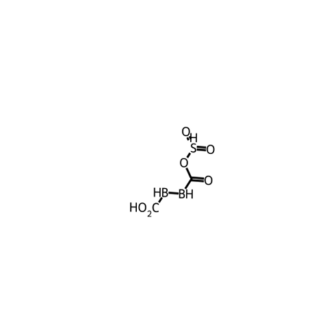 O=C(O)BBC(=O)O[SH](=O)=O